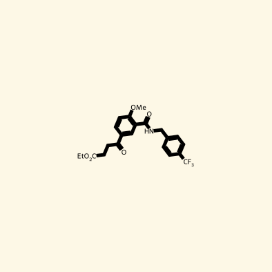 CCOC(=O)CCC(=O)c1ccc(OC)c(C(=O)NCc2ccc(C(F)(F)F)cc2)c1